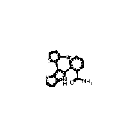 NC(=O)c1ccccc1-c1[nH]c2ccsc2c1-c1sccc1Br